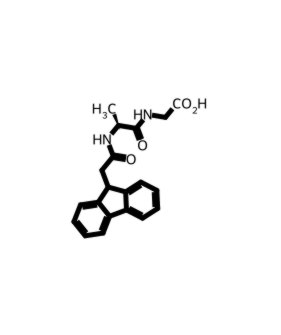 C[C@H](NC(=O)CC1c2ccccc2-c2ccccc21)C(=O)NCC(=O)O